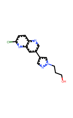 OCCCn1cc(-c2cnc3ccc(Cl)nc3c2)cn1